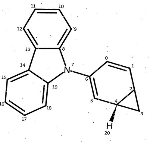 C1=CC2C[C@@H]2C=C1n1c2ccccc2c2ccccc21